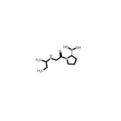 CCC(C)NCC(=O)N1CCC[C@H]1B(O)O